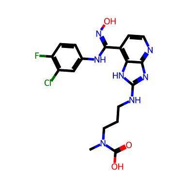 CN(CCCNc1nc2nccc(/C(=N\O)Nc3ccc(F)c(Cl)c3)c2[nH]1)C(=O)O